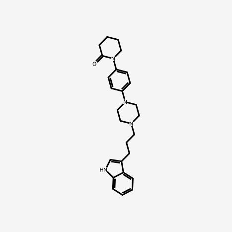 O=C1CCCCN1c1ccc(N2CCN(CCCc3c[nH]c4ccccc34)CC2)cc1